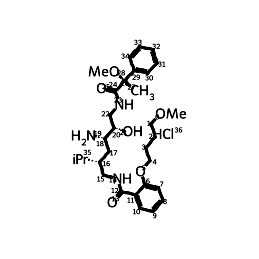 COCCCCOc1ccccc1C(=O)NC[C@@H](C[C@H](N)[C@@H](O)CNC(=O)[C@](C)(OC)c1ccccc1)C(C)C.Cl